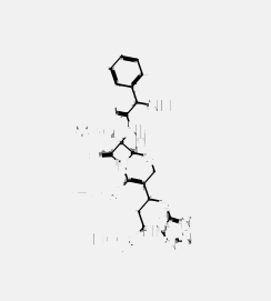 CO[C@@]1(NC(=O)C(N)c2ccccc2)C(=O)N2C(C(=O)O)=C(C(CCC(=O)O)Sc3nnn[nH]3)CS[C@H]21